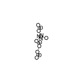 c1ccc(-c2nc(-c3ccc4c(c3)oc3ccccc34)nc(-c3cccc4c3oc3ccc(-c5ccc6c(c5)oc5ccccc56)cc34)n2)cc1